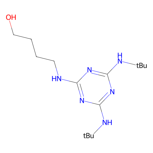 CC(C)(C)Nc1nc(NCCCCO)nc(NC(C)(C)C)n1